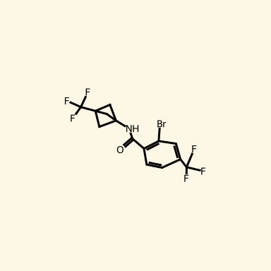 O=C(NC12CC(C(F)(F)F)(C1)C2)c1ccc(C(F)(F)F)cc1Br